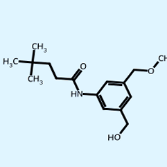 COCc1cc(CO)cc(NC(=O)CCC(C)(C)C)c1